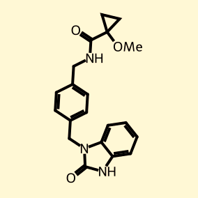 COC1(C(=O)NCc2ccc(Cn3c(=O)[nH]c4ccccc43)cc2)CC1